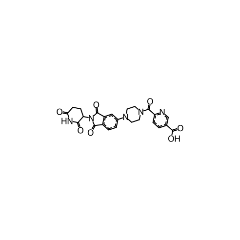 O=C1CCC(N2C(=O)c3ccc(N4CCN(C(=O)c5ccc(C(=O)O)cn5)CC4)cc3C2=O)C(=O)N1